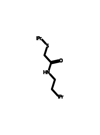 CC(C)CCNC(=O)CSC(C)C